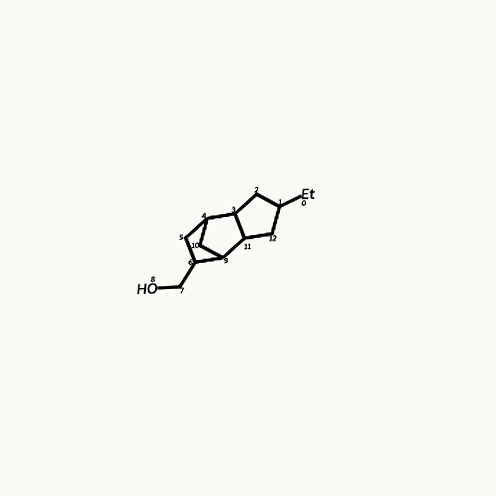 CCC1CC2C3CC(CO)C(C3)C2C1